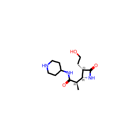 C[C@@H](C(=O)NC1CCNCC1)[C@H]1NC(=O)[C@H]1CCO